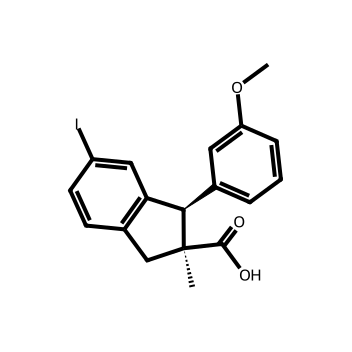 COc1cccc([C@@H]2c3cc(I)ccc3C[C@]2(C)C(=O)O)c1